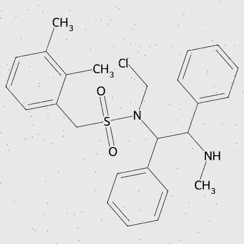 CNC(c1ccccc1)C(c1ccccc1)N(CCl)S(=O)(=O)Cc1cccc(C)c1C